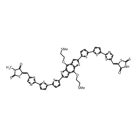 CSCCOc1c2cc(-c3ccc(-c4ccc(-c5ncc(/C=C6\SC(=S)N(C)C6=O)s5)s4)s3)sc2c(OCCSC)c2cc(-c3ccc(-c4ccc(-c5ncc(/C=C6\SC(=S)NC6=O)s5)s4)s3)sc12